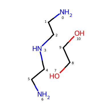 NCCNCCN.OCCO